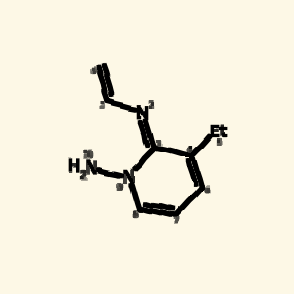 C=C/N=c1/c(CC)cccn1N